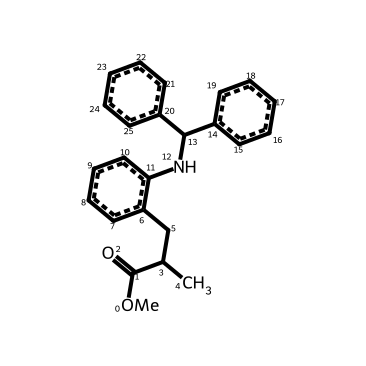 COC(=O)C(C)Cc1ccccc1NC(c1ccccc1)c1ccccc1